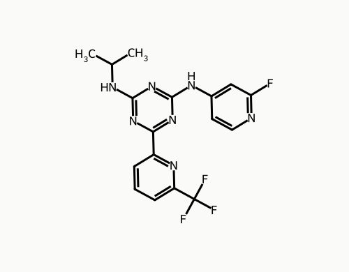 CC(C)Nc1nc(Nc2ccnc(F)c2)nc(-c2cccc(C(F)(F)F)n2)n1